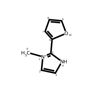 C[n+]1cc[nH]c1-c1ccco1